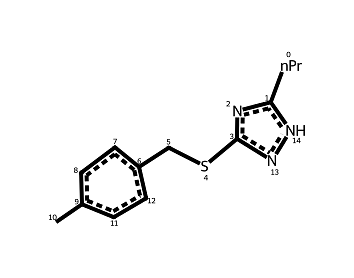 CCCc1nc(SCc2ccc(C)cc2)n[nH]1